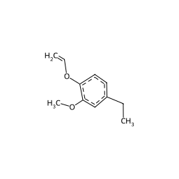 C=COc1ccc(CC)cc1OC